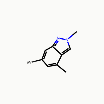 Cc1cc(C(C)C)cc2nn(C)cc12